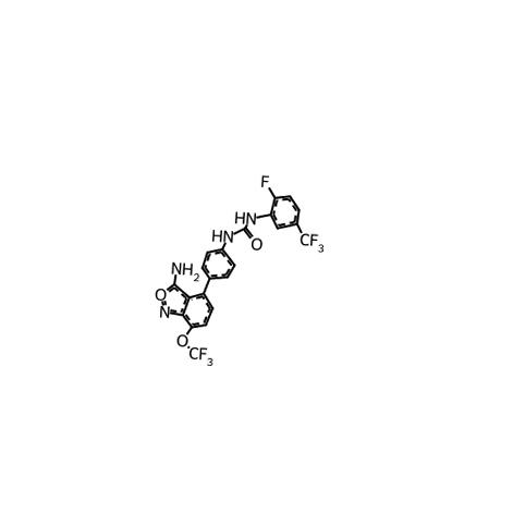 Nc1onc2c(OC(F)(F)F)ccc(-c3ccc(NC(=O)Nc4cc(C(F)(F)F)ccc4F)cc3)c12